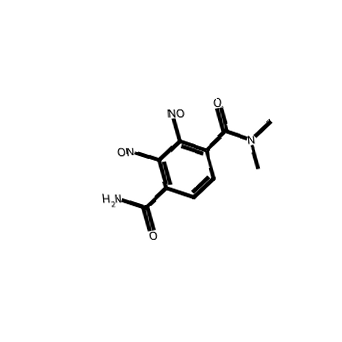 CN(C)C(=O)c1ccc(C(N)=O)c(N=O)c1N=O